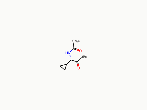 COC(=O)N[C@H](C(=O)C(C)(C)C)C1CC1